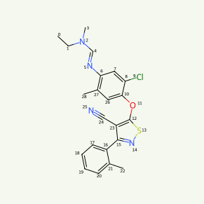 CCN(C)C=Nc1cc(Cl)c(Oc2snc(-c3ccccc3C)c2C#N)cc1C